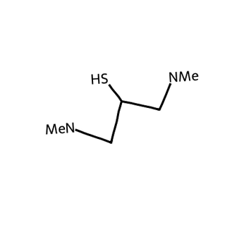 CNCC(S)CNC